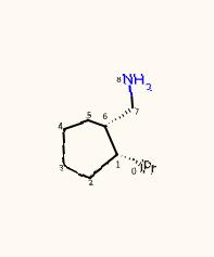 CC(C)[C@@H]1CCCC[C@@H]1CN